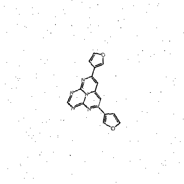 C1=NC2=NC(c3ccoc3)=CC3=CC(c4ccoc4)=NC(=N1)N32